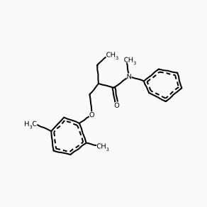 CCC(COc1cc(C)ccc1C)C(=O)N(C)c1ccccc1